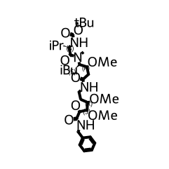 CC[C@H](C)C([C@@H](CC(=O)NCC1OC(C(=O)NCc2ccccc2)[C@@H](OC)[C@@H]1OC)OC)N(C)C(=O)[C@@H](NC(=O)OC(C)(C)C)C(C)C